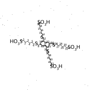 O=S(=O)(O)CCCCCCSCc1cc(CSCCCCCCS(=O)(=O)O)c2cc(CSCCCCCCS(=O)(=O)O)cc(CSCCCCCCS(=O)(=O)O)c2c1